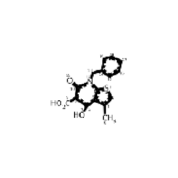 Cc1csc2c1c(O)c(C(=O)O)c(=O)n2Cc1ccccc1